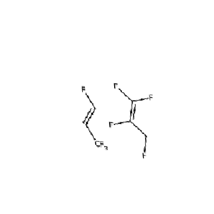 F/C=C/C(F)(F)F.FCC(F)=C(F)F